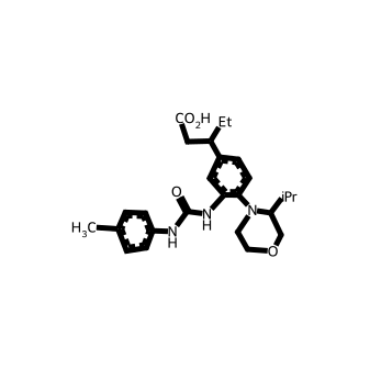 CCC(CC(=O)O)c1ccc(N2CCOCC2C(C)C)c(NC(=O)Nc2ccc(C)cc2)c1